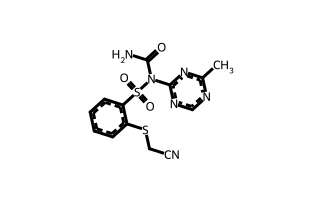 Cc1ncnc(N(C(N)=O)S(=O)(=O)c2ccccc2SCC#N)n1